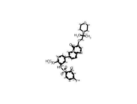 COc1ncc(-c2ccc3ncc(OCC(C)(C)N4CCOCC4)c(=O)n3c2)cc1NS(=O)(=O)c1ccc(F)cc1Cl